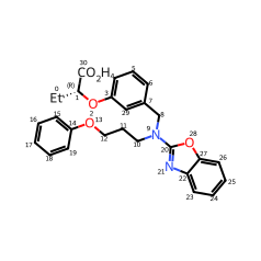 CC[C@@H](Oc1cccc(CN(CCCOc2ccccc2)c2nc3ccccc3o2)c1)C(=O)O